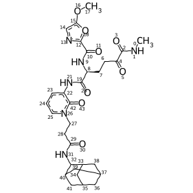 CNC(=O)C(=O)CC[C@H](NC(=O)c1ncc(OC)o1)C(=O)Nc1cccn(CCC(=O)NC2C3CC4CC(C3)CC2C4)c1=O